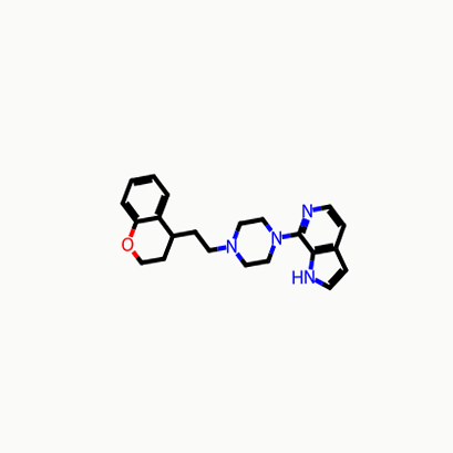 c1ccc2c(c1)OCCC2CCN1CCN(c2nccc3cc[nH]c23)CC1